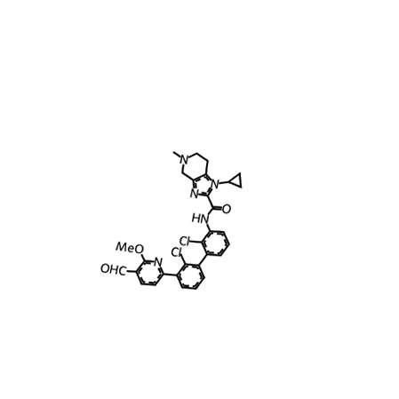 COc1nc(-c2cccc(-c3cccc(NC(=O)c4nc5c(n4C4CC4)CCN(C)C5)c3Cl)c2Cl)ccc1C=O